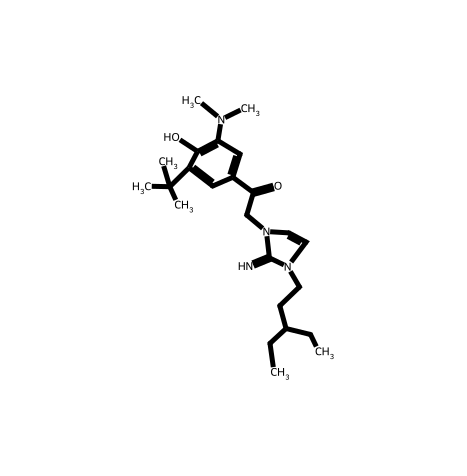 CCC(CC)CCn1ccn(CC(=O)c2cc(N(C)C)c(O)c(C(C)(C)C)c2)c1=N